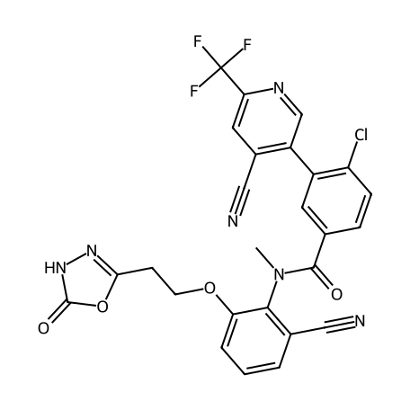 CN(C(=O)c1ccc(Cl)c(-c2cnc(C(F)(F)F)cc2C#N)c1)c1c(C#N)cccc1OCCc1n[nH]c(=O)o1